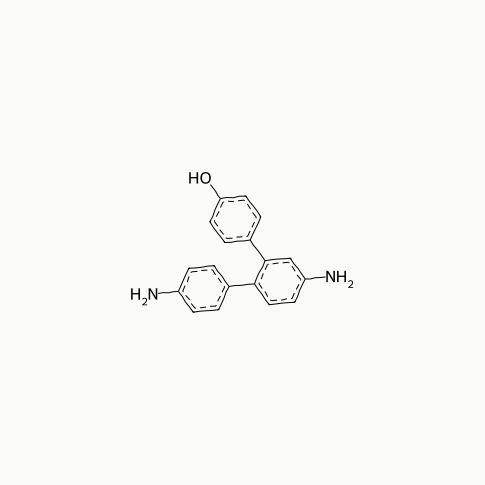 Nc1ccc(-c2ccc(N)cc2-c2ccc(O)cc2)cc1